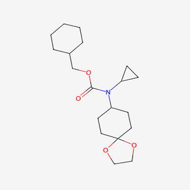 O=C(OCC1CCCCC1)N(C1CC1)C1CCC2(CC1)OCCO2